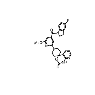 COc1cc(C(=O)N2CCc3cc(F)ccc32)cc(N2CCC3(CC2)OC(=O)Nc2ncccc23)n1